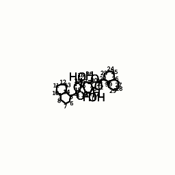 O[C@@H]1[C@H]2OC(C3CCCC4CCCCC43)O[C@H]2[C@@H](O)[C@@H]2OC(C3CCCC4CCCCC43)O[C@@H]12